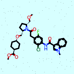 COC[C@H]1CC[C@@H](CO[C@H]2CC[C@H](C(=O)OC)CC2)N1C(=O)Cc1cc(Cl)c(NC(=O)c2cn(C)c3ccccc23)cc1F